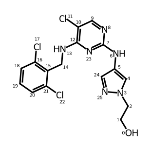 OCCn1cc(Nc2ncc(Cl)c(NCc3c(Cl)cccc3Cl)n2)cn1